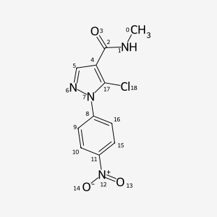 CNC(=O)c1cnn(-c2ccc([N+](=O)[O-])cc2)c1Cl